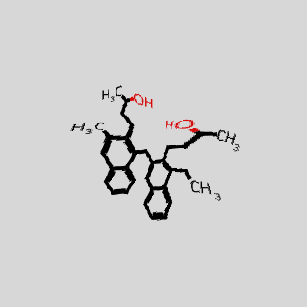 CCc1c(CCC(C)O)c(Cc2c(CCC(C)O)c(C)cc3ccccc23)cc2ccccc12